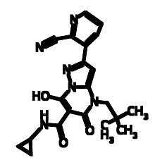 CC(C)(C)Cn1c(=O)c(C(=O)NC2CC2)c(O)n2nc(-c3cccnc3C#N)cc12